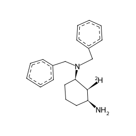 [2H][C@@H]1[C@H](N(Cc2ccccc2)Cc2ccccc2)CCC[C@@H]1N